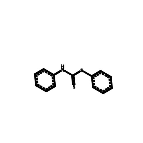 S=C(Nc1ccccc1)Sc1ccccc1